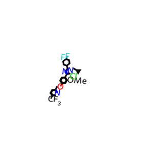 COc1cc(OCc2ccc(C(F)(F)F)cn2)ccc1-c1nc(C2CCC(F)(F)CC2)n(CC2CC2)c1Cl